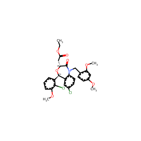 CCOC(=O)C[C@H]1O[C@H](c2cccc(OC)c2Cl)c2cc(Cl)ccc2N(Cc2ccc(OC)cc2OC)C1=O